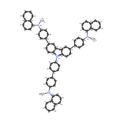 CN(c1ccc(-c2ccc(-n3c4ccc(-c5ccc(N(C)c6cccc7ccccc67)cc5)cc4c4cc(-c5ccc(N(C)c6cccc7ccccc67)cc5)ccc43)cc2)cc1)c1cccc2ccccc12